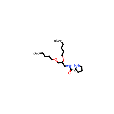 CCCCCCCCCCCCCCOCC(CNC(=O)[C@H]1CCCN1)OCCCCCCCCCCCCCC